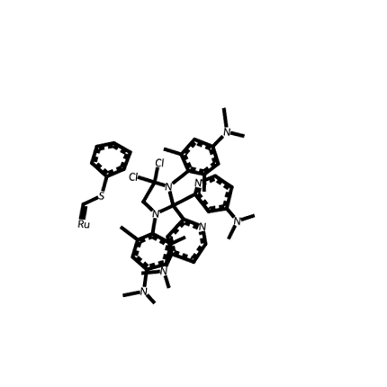 Cc1cc(N(C)C)cc(C)c1N1CC(Cl)(Cl)N(c2c(C)cc(N(C)C)cc2C)C1(c1cc(N(C)C)ccn1)c1cc(N(C)C)ccn1.[Ru]=[CH]Sc1ccccc1